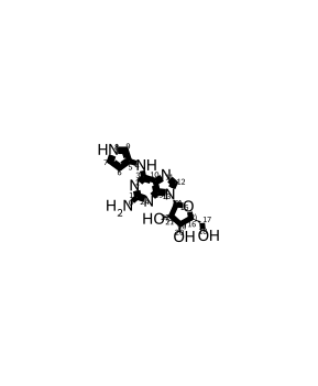 Nc1nc(Nc2cc[nH]c2)c2ncn([C@@H]3O[C@H](CO)[C@H](O)[C@@H]3O)c2n1